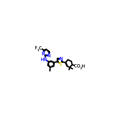 Cc1cc(Nc2nccc(C(F)(F)F)n2)cc(-c2cnc(C3=CC(C)(C)C(C(=O)O)CC3)s2)c1